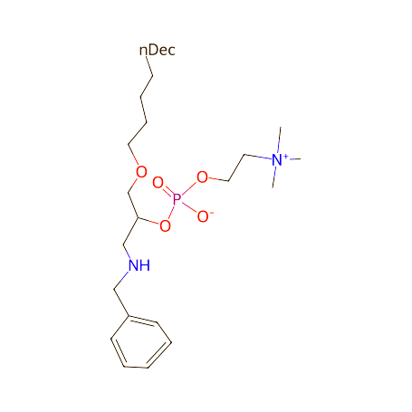 CCCCCCCCCCCCCCOCC(CNCc1ccccc1)OP(=O)([O-])OCC[N+](C)(C)C